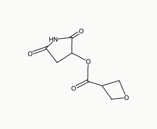 O=C1CC(OC(=O)C2COC2)C(=O)N1